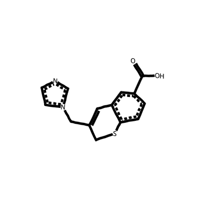 O=C(O)c1ccc2c(c1)C=C(Cn1ccnc1)CS2